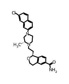 C[C@@H]1CN(c2ccc3ccc(Cl)cc3c2)CCN1CC[C@@H]1OCCc2cc(C(N)=O)ccc21